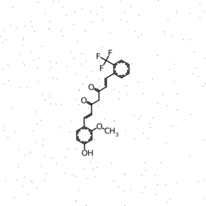 COc1cc(O)ccc1/C=C/C(=O)CC(=O)/C=C/c1ccccc1C(F)(F)F